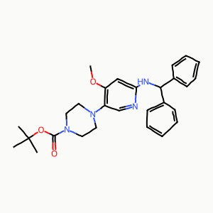 COc1cc(NC(c2ccccc2)c2ccccc2)ncc1N1CCN(C(=O)OC(C)(C)C)CC1